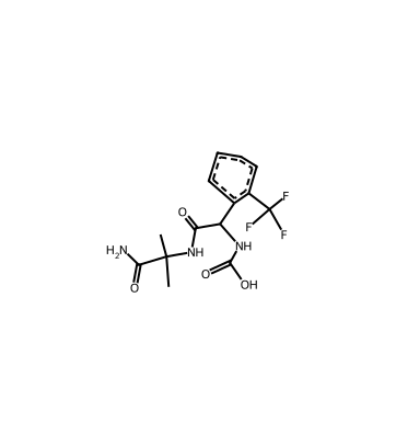 CC(C)(NC(=O)C(NC(=O)O)c1ccccc1C(F)(F)F)C(N)=O